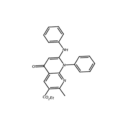 CCOC(=O)c1cc2c(=O)cc(Nc3ccccc3)n(-c3ccccc3)c2nc1C